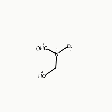 CCN(C=O)CO